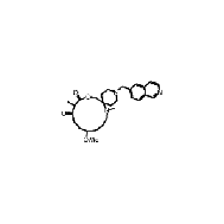 COC1CCCN(C)C2(CCN(Cc3ccc4cnccc4c3)CC2)COC(=O)C(C)C(=O)CC1